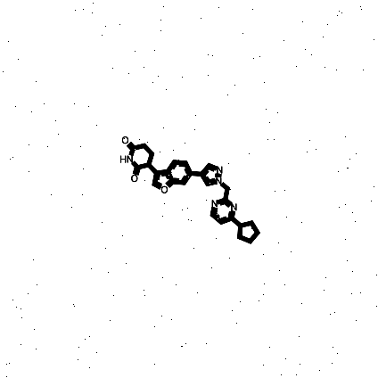 O=C1CCC(c2coc3cc(-c4cnn(Cc5nccc(C6CCCC6)n5)c4)ccc23)C(=O)N1